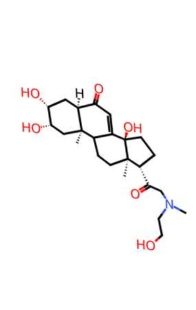 CN(CCO)CC(=O)[C@H]1CC[C@@]2(O)C3=CC(=O)[C@@H]4C[C@@H](O)[C@@H](O)C[C@]4(C)C3CC[C@]12C